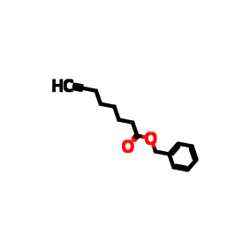 C#CCCCCCC(=O)OCc1ccccc1